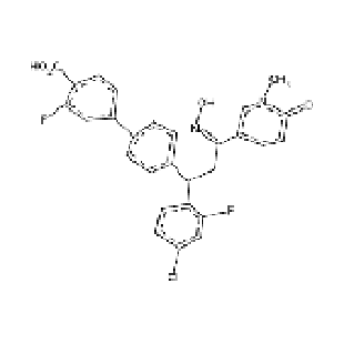 Cn1cc(C(CC(c2ccc(-c3ccc(C(=O)O)c(F)c3)cc2)c2ccc(Cl)cc2F)=NO)ccc1=O